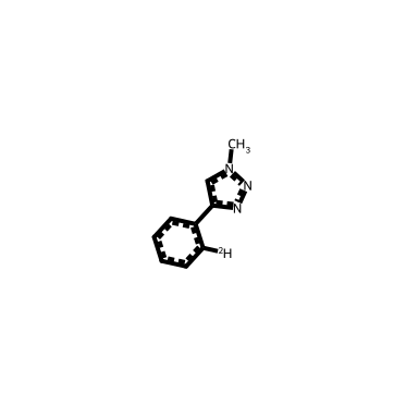 [2H]c1ccccc1-c1cn(C)nn1